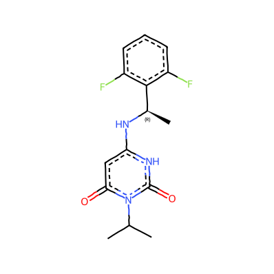 CC(C)n1c(=O)cc(N[C@H](C)c2c(F)cccc2F)[nH]c1=O